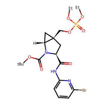 CCOP(=O)(OCC)OC[C@@]12C[C@@H](C(=O)Nc3cccc(Br)n3)N(C(=O)OC(C)(C)C)[C@@H]1C2